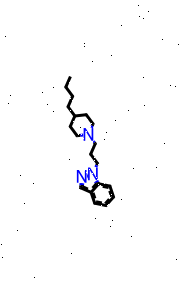 CCCCC1CCN(CCCn2ncc3ccccc32)CC1